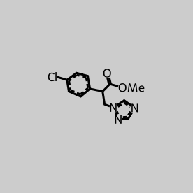 COC(=O)C(Cn1cncn1)c1ccc(Cl)cc1